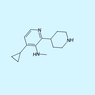 CNc1c(C2CC2)ccnc1C1CCNCC1